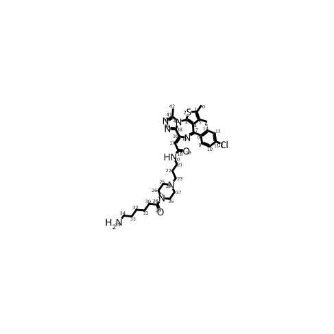 Cc1sc2c(c1C)C(c1ccc(Cl)cc1)=N/C(=C\C(=O)NCCCN1CCN(C(=O)CCCCCN)CC1)c1nnc(C)n1-2